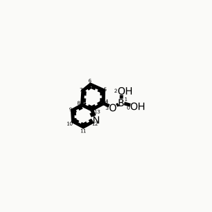 OB(O)Oc1cccc2cccnc12